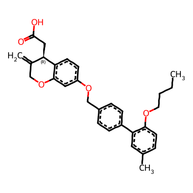 C=C1COc2cc(OCc3ccc(-c4cc(C)ccc4OCCCC)cc3)ccc2[C@@H]1CC(=O)O